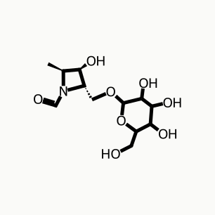 C[C@H]1[C@@H](O)[C@H](COC2OC(CO)C(O)C(O)C2O)N1C=O